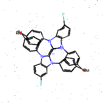 CC(C)(C)c1ccc(N2/C(=C3/N(c4ccc(C(C)(C)C)cc4)c4ccc(F)cc4N3c3ccc(C(C)(C)C)cc3)N(c3ccc(C(C)(C)C)cc3)c3cc(F)ccc32)cc1